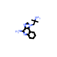 CC(C)(N)Cn1cnc2c(N)nc3ccccc3c21